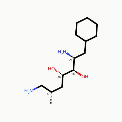 C[C@H](CN)C[C@H](O)[C@H](O)[C@@H](N)CC1CCCCC1